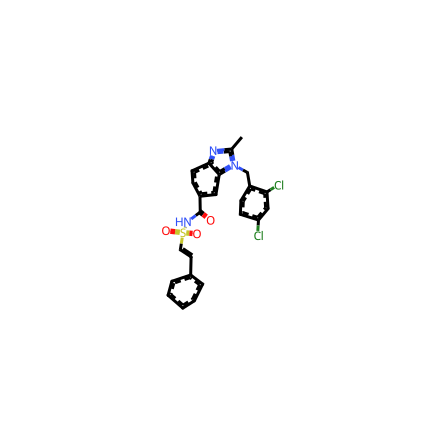 Cc1nc2ccc(C(=O)NS(=O)(=O)C=Cc3ccccc3)cc2n1Cc1ccc(Cl)cc1Cl